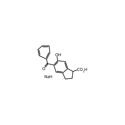 O=C(c1ccccc1)c1cc2c(cc1O)C(C(=O)O)CC2.[NaH]